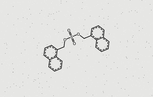 O=S(=O)(OCc1cccc2ccccc12)OCc1cccc2ccccc12